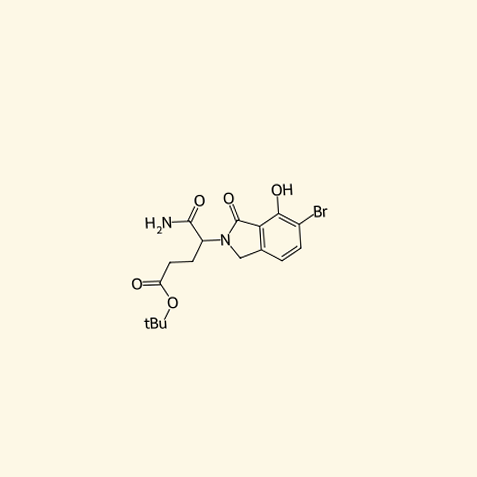 CC(C)(C)OC(=O)CCC(C(N)=O)N1Cc2ccc(Br)c(O)c2C1=O